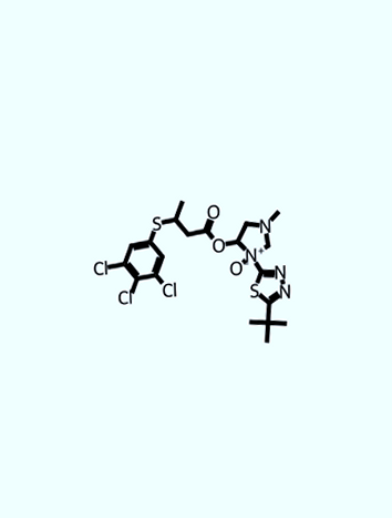 CC(CC(=O)OC1CN(C)C[N+]1([O-])c1nnc(C(C)(C)C)s1)Sc1cc(Cl)c(Cl)c(Cl)c1